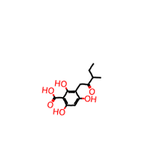 CCC(C)C(=O)Cc1c(O)cc(O)c(C(=O)O)c1O